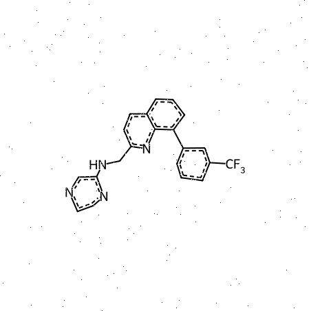 FC(F)(F)c1cccc(-c2cccc3ccc(CNc4cnccn4)nc23)c1